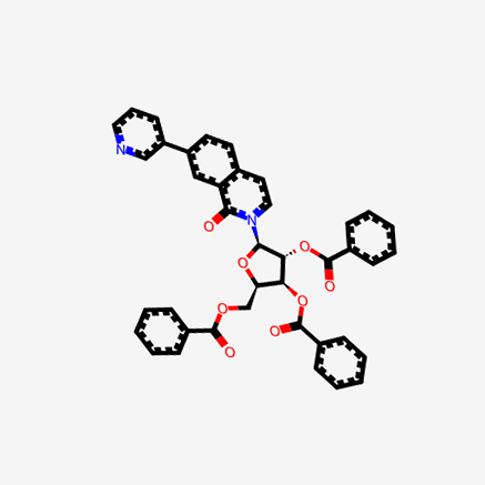 O=C(OC[C@H]1O[C@@H](n2ccc3ccc(-c4cccnc4)cc3c2=O)[C@H](OC(=O)c2ccccc2)[C@H]1OC(=O)c1ccccc1)c1ccccc1